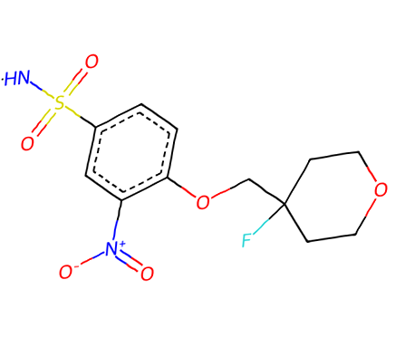 [NH]S(=O)(=O)c1ccc(OCC2(F)CCOCC2)c([N+](=O)[O-])c1